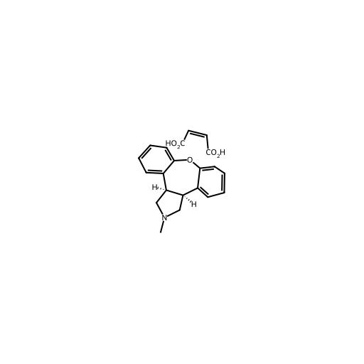 CN1C[C@@H]2c3ccccc3Oc3ccccc3[C@@H]2C1.O=C(O)/C=C\C(=O)O